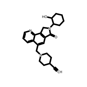 C#CC1CCN(Cc2cc3c(c4ncccc24)CN(C2CCCCC2O)C3=O)CC1